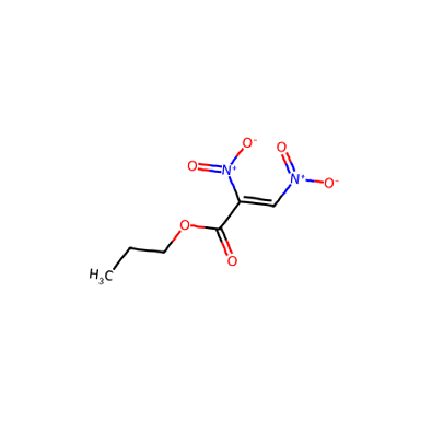 CCCOC(=O)C(=C[N+](=O)[O-])[N+](=O)[O-]